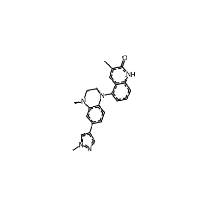 Cc1cc2c(N3CCN(C)c4cc(-c5cnn(C)c5)ccc43)cccc2[nH]c1=O